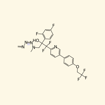 C=N/N=N\N(C)CC(O)(c1ccc(F)cc1F)C(F)(F)c1ccc(-c2ccc(OCC(F)(F)F)cc2)cn1